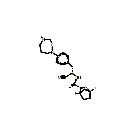 CN1CCCN(c2ccc(C[C@@H](C#N)NC(=O)[C@H]3N[C@@H]4CC[C@H]3C4)cc2)CC1